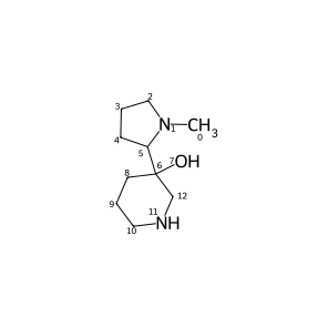 CN1CCCC1C1(O)CCCNC1